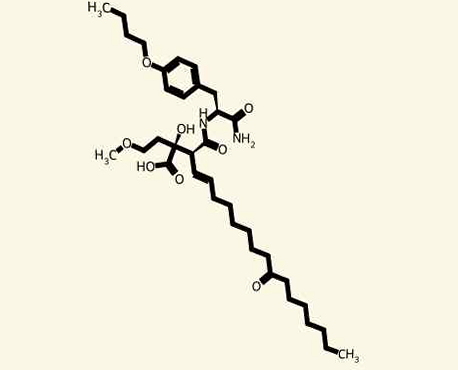 CCCCCCCC(=O)CCCCCC/C=C/[C@H](C(=O)N[C@@H](Cc1ccc(OCCCC)cc1)C(N)=O)[C@@](O)(CCOC)C(=O)O